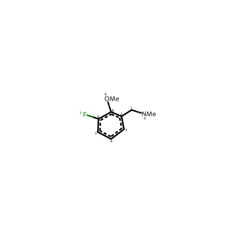 CNCc1cccc(F)c1OC